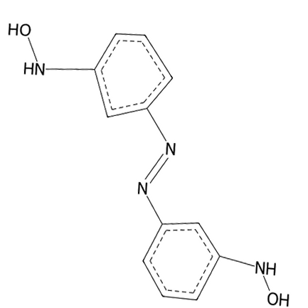 ONc1cccc(N=Nc2cccc(NO)c2)c1